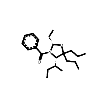 CCCC1(CCC)O[C@@H](CC)N(C(=O)c2ccccc2)[C@H]1C(C)CC